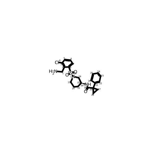 NCc1c(Cl)cccc1S(=O)(=O)N1CCC[C@H](NC(=O)C2(c3ccccc3)CC2)C1